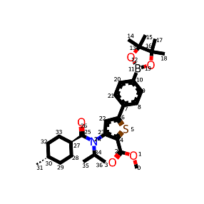 COC(=O)c1sc(-c2ccc(B3OC(C)(C)C(C)(C)O3)cc2)cc1N(C(=O)[C@H]1CC[C@H](C)CC1)C(C)C